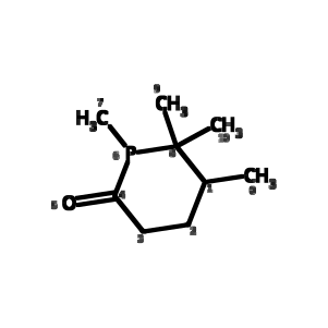 CC1CCC(=O)P(C)C1(C)C